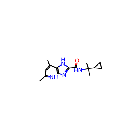 CC(=N)/C=C(/C)c1cnc(C(=O)NC(C)(C)C2CC2)[nH]1